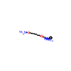 NCCOCCCCCCCCCCCOCCN(N)/C=C(\N)c1ccccc1